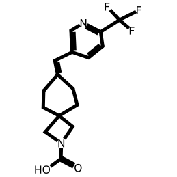 O=C(O)N1CC2(CCC(=Cc3ccc(C(F)(F)F)nc3)CC2)C1